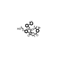 C[C@H](O)COc1ccc(-n2c(C(=O)NCc3ccccc3-c3cccnn3)c3n(c2=O)C[C@H](C)N(C(=O)c2ccc(Br)c(C(F)(F)F)c2)C3)cc1